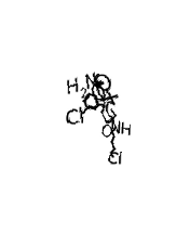 CC(C)(C)C(OC(N)=O)[C@]1(c2cccc(Cl)c2)CC[C@H](NC(=O)CCCCCl)CC1